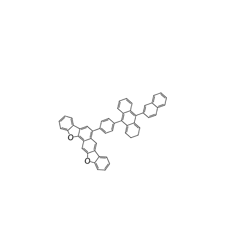 C1=c2c(-c3ccc(-c4cc5c6ccccc6oc5c5cc6oc7ccccc7c6cc45)cc3)c3ccccc3c(-c3ccc4ccccc4c3)c2=CCC1